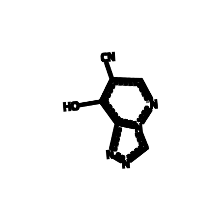 N#Cc1cnn2cnnc2c1O